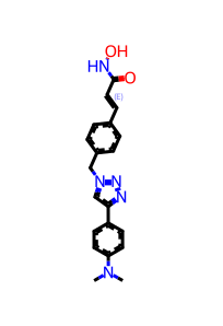 CN(C)c1ccc(-c2cn(Cc3ccc(/C=C/C(=O)NO)cc3)nn2)cc1